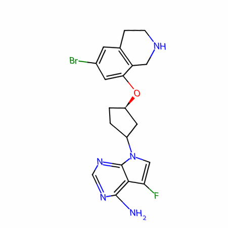 Nc1ncnc2c1c(F)cn2C1CC[C@@H](Oc2cc(Br)cc3c2CNCC3)C1